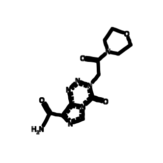 NC(=O)c1ncn2c(=O)n(CC(=O)N3CCOCC3)nnc12